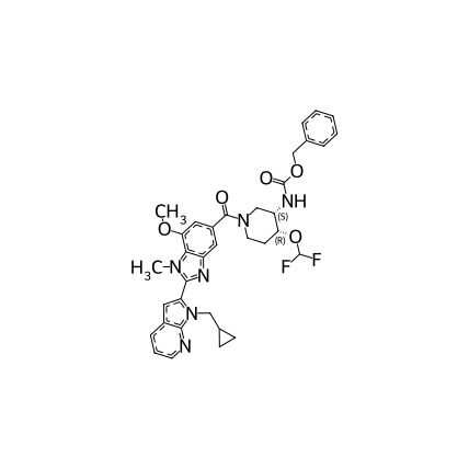 COc1cc(C(=O)N2CC[C@@H](OC(F)F)[C@@H](NC(=O)OCc3ccccc3)C2)cc2nc(-c3cc4cccnc4n3CC3CC3)n(C)c12